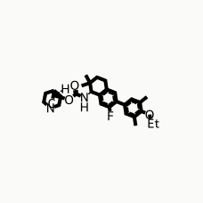 CCOc1c(C)cc(-c2cc3c(cc2F)[C@H](NC(=O)O[C@H]2CN4CCC2CC4)C(C)(C)CC3)cc1C